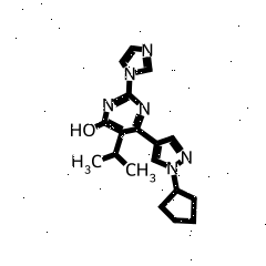 CC(C)c1c(O)nc(-n2ccnc2)nc1-c1cnn(C2CCCC2)c1